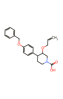 C=CCOC1CN(C(=O)O)CCC1c1ccc(OCc2ccccc2)cc1